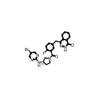 O=C(c1cc(Cc2n[nH]c(=O)c3ccccc23)ccc1F)N1CC[C@@H](Nc2ncc(Br)cn2)C1